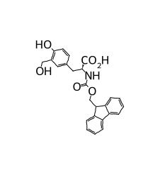 O=C(N[C@@H](Cc1ccc(O)c(CO)c1)C(=O)O)OCC1c2ccccc2-c2ccccc21